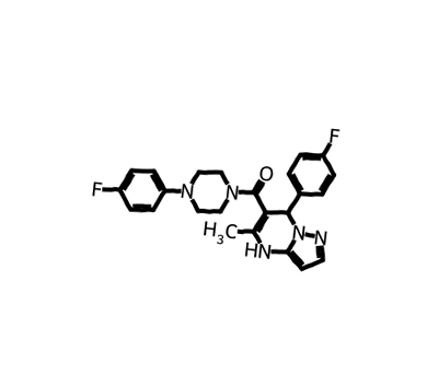 CC1=C(C(=O)N2CCN(c3ccc(F)cc3)CC2)C(c2ccc(F)cc2)n2nccc2N1